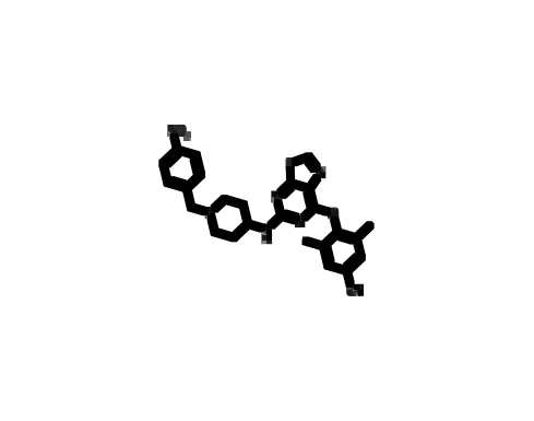 Cc1cc(C#N)cc(C)c1Oc1nc(NC2CCN(Cc3ccc([N+](=O)[O-])cc3)CC2)nc2scnc12